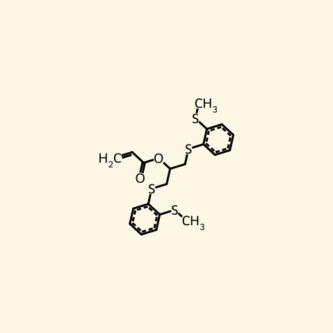 C=CC(=O)OC(CSc1ccccc1SC)CSc1ccccc1SC